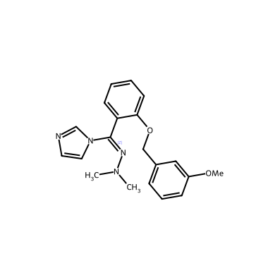 COc1cccc(COc2ccccc2/C(=N/N(C)C)n2ccnc2)c1